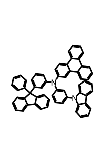 c1ccc(C2(c3cccc(N(c4cccc(-n5c6ccccc6c6ccccc65)c4)c4ccc5c6ccccc6c6ccccc6c5c4)c3)c3ccccc3-c3ccccc32)cc1